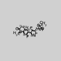 CCS(=O)(=O)NCc1cncc(-c2cc3c(cc2F)N(C)C(=O)CC3)c1C